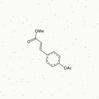 COC(=O)/C=C/c1ccc(OC(C)=O)cc1